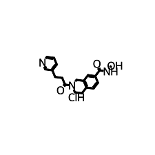 Cl.O=C(NO)c1ccc2c(c1)CN(C(=O)CCc1cccnc1)CC2